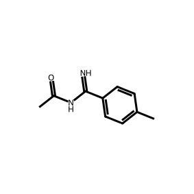 CC(=O)NC(=N)c1ccc(C)cc1